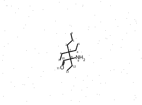 CCCC(CC)(CC)C(N)(C=O)CC